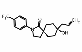 C=CC[C@]1(O)CC[C@]2(CCN(c3ccc(C(F)(F)F)cc3)C2=O)CC1